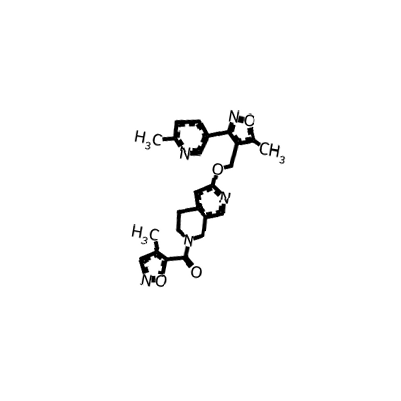 Cc1ccc(-c2noc(C)c2COc2cc3c(cn2)CN(C(=O)c2oncc2C)CC3)cn1